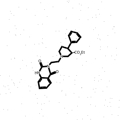 CCOC(=O)[C@@H]1CN(CCn2c(=O)[nH]c3ccccc3c2=O)CCC1c1ccccc1